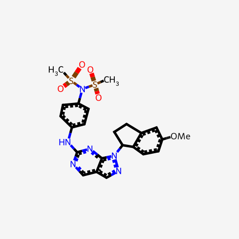 COc1ccc2c(c1)CCC2n1ncc2cnc(Nc3ccc(N(S(C)(=O)=O)S(C)(=O)=O)cc3)nc21